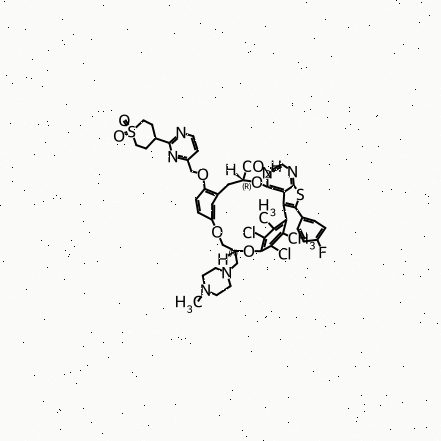 Cc1c(Cl)c2c(Cl)c(C)c1-c1c(-c3ccc(F)cc3)sc3ncnc(c13)O[C@@H](C(=O)O)Cc1cc(ccc1OCc1ccnc(C3CCS(=O)(=O)CC3)n1)OC[C@@H](CN1CCN(C)CC1)O2